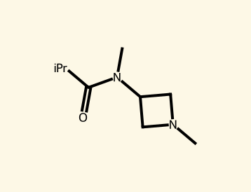 CC(C)C(=O)N(C)C1CN(C)C1